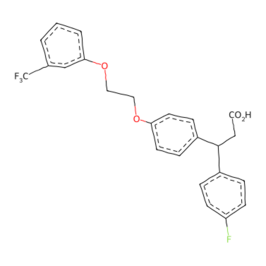 O=C(O)CC(c1ccc(F)cc1)c1ccc(OCCOc2cccc(C(F)(F)F)c2)cc1